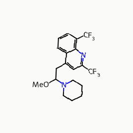 COC(Cc1cc(C(F)(F)F)nc2c(C(F)(F)F)cccc12)N1CCCCC1